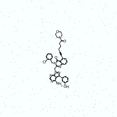 Nc1ncnc2c1c(-c1cccc(O)c1)nn2Cc1nc2cccc(C#CCCCC(=O)N3CCOCC3)c2c(=O)n1Cc1ccccc1Cl